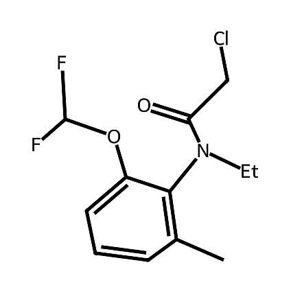 CCN(C(=O)CCl)c1c(C)cccc1OC(F)F